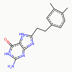 Cc1ccc(CCc2nc3nc(N)[nH]c(=O)c3[nH]2)cc1C